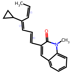 C\C=C/C(=C\C=C\c1cc2ccccc2n(C)c1=O)C1CC1